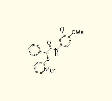 COc1ccc(NC(=O)C(Sc2cccc[n+]2[O-])c2ccccc2)cc1Cl